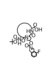 CC(C)(C)OC(=O)NC1CCCCCCCCCC(C(=O)O)NC(=O)C2CC(OC(=O)N3Cc4cccc(F)c4C3)C[N+]2C1=O